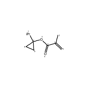 C=C(C)C(=O)OC1(C(C)C)CC1